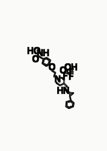 O=C(NO)c1ccc(OCCCN2CCC(CNC3CC3c3ccccc3)CC2)cc1.O=C(O)C(F)(F)F